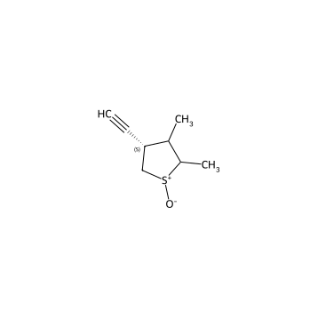 C#C[C@H]1C[S+]([O-])C(C)C1C